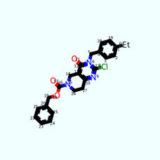 CCc1ccc(Cn2c(Cl)nc3c(c2=O)CN(C(=O)OCc2ccccc2)CC3)cc1